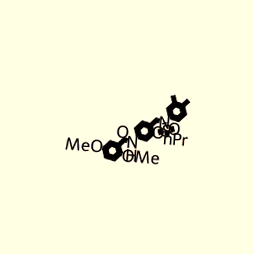 CCCS(=O)(=O)N(Cc1ccc(NC(=O)c2cc(OC)ccc2OC)cc1)c1ccc(C)c(C)c1